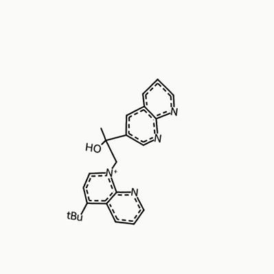 CC(C)(C)c1cc[n+](CC(C)(O)c2cnc3ncccc3c2)c2ncccc12